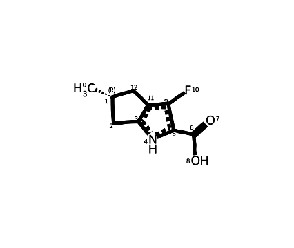 C[C@H]1Cc2[nH]c(C(=O)O)c(F)c2C1